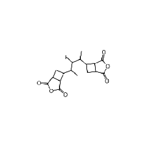 CC(C(I)C(C)C1CC2C(=O)OC(=O)C21)C1CC2C(=O)OC(=O)C21